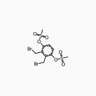 CS(=O)(=O)Oc1ccc(OS(C)(=O)=O)c(CBr)c1CBr